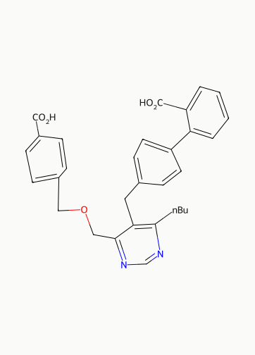 CCCCc1ncnc(COCc2ccc(C(=O)O)cc2)c1Cc1ccc(-c2ccccc2C(=O)O)cc1